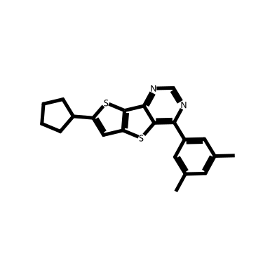 Cc1cc(C)cc(-c2ncnc3c2sc2cc(C4CCCC4)sc23)c1